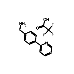 NCc1ccc(-c2ccccn2)cc1.O=C(O)C(F)(F)F